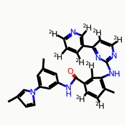 [2H]c1nc(Nc2c([2H])c(C(=O)Nc3cc(C)cc(-n4ccc(C)c4)c3)c([2H])c([2H])c2C)nc(-c2c([2H])nc([2H])c([2H])c2[2H])c1[2H]